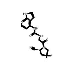 N#C[C@@H]1CC(F)(F)CN1C(=O)CNC(=O)Nc1ccnc2[nH]ccc12